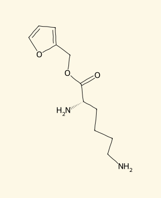 NCCCC[C@H](N)C(=O)OCc1ccco1